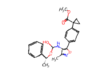 COC(=O)C1(c2ccc(-c3onc(C)c3NC(O)O[C@H](C)c3ccccc3)cc2)CC1